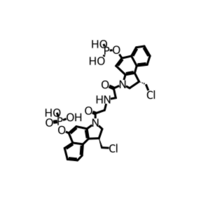 O=C(CNCC(=O)N1C[C@@H](CCl)c2c1cc(OP(=O)(O)O)c1ccccc21)N1C[C@@H](CCl)c2c1cc(OP(O)O)c1ccccc21